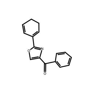 O=C(c1ccccc1)c1coc(C2=CCCC=C2)n1